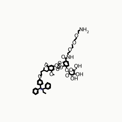 CC/C(=C(\c1ccccc1)c1ccc(OCCC(C)Cc2c(OC)cc(OS(=O)(=O)Oc3cc(C(=O)NCCOCCOCCOCCN)ccc3OC3O[C@H](CO)[C@H](O)[C@H](O)C3=O)cc2OC)cc1)c1ccccc1